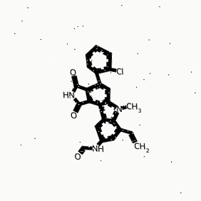 C=Cc1cc(NC=O)cc2c3c4c(c(-c5ccccc5Cl)cc3n(C)c12)C(=O)NC4=O